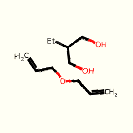 C=CCOCC=C.CCC(CO)CO